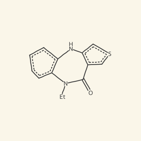 CCN1C(=O)c2cscc2Nc2ccccc21